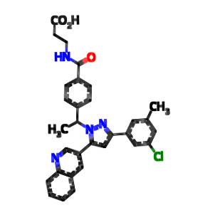 Cc1cc(Cl)cc(-c2cc(-c3cnc4ccccc4c3)n(C(C)c3ccc(C(=O)NCCC(=O)O)cc3)n2)c1